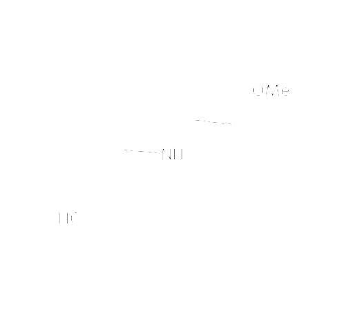 C#CCNCCOC